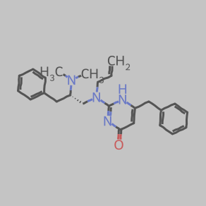 C=CCN(C[C@H](Cc1ccccc1)N(C)C)c1nc(=O)cc(Cc2ccccc2)[nH]1